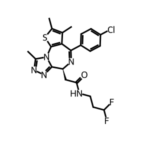 Cc1sc2c(c1C)C(c1ccc(Cl)cc1)=N[C@@H](CC(=O)NCCC(F)F)c1nnc(C)n1-2